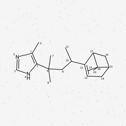 Cc1nc[nH]c1C(C)(C)CC(C)C1=CCC2CC1C2(C)C